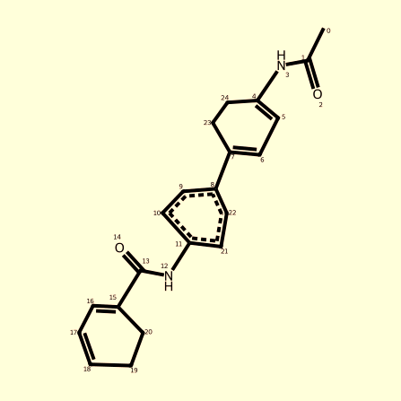 CC(=O)NC1=CC=C(c2ccc(NC(=O)C3=CC=CCC3)cc2)CC1